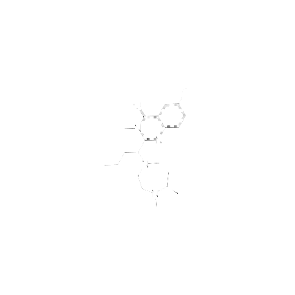 CCCC(c1nc2ccc(Cl)cc2c(=O)n1C)N1CC[C@@H](C)N(C)CC1